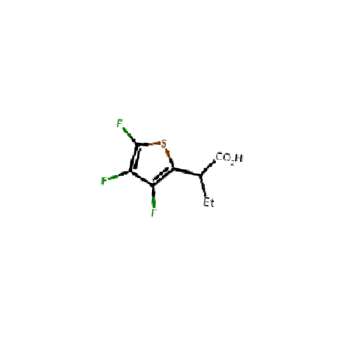 CCC(C(=O)O)c1sc(F)c(F)c1F